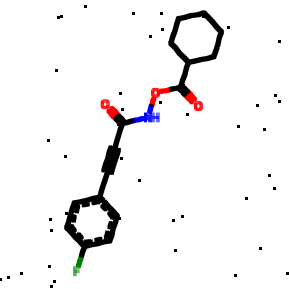 O=C(C#Cc1ccc(F)cc1)NOC(=O)C1CCCCC1